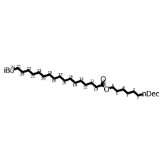 CCCCCCCCCCCCCCCCOC(=O)CCCCCCCCCCCCCCCCC(C)CC